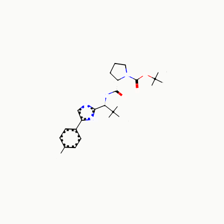 Cc1ccc(-c2cnc([C@@H](NC(=O)[C@@H]3CCCN3C(=O)OC(C)(C)C)C(C)(C)C)[nH]2)cc1